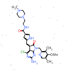 COc1c(C)cnc(CN2C(=O)C(=Cc3cc(C(=O)NCCN4CCN(C)CC4)c[nH]3)c3c(Cl)nc(N)nc32)c1C